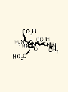 NC(=O)NCCC[C@H](NC(=O)[C@H](CCC(=O)O)NC(=O)[C@@H](N)CCC(=O)O)C(=O)O